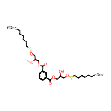 CCCCCCCCCCCCCCCCSOCC(O)COC(=O)c1cccc(C(=O)OCC(O)COSCCCCCCCCCCCCCCCC)c1